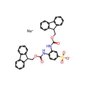 O=C(Nc1ccc(S(=O)(=O)[O-])cc1NC(=O)OCC1c2ccccc2-c2ccccc21)OCC1c2ccccc2-c2ccccc21.[Na+]